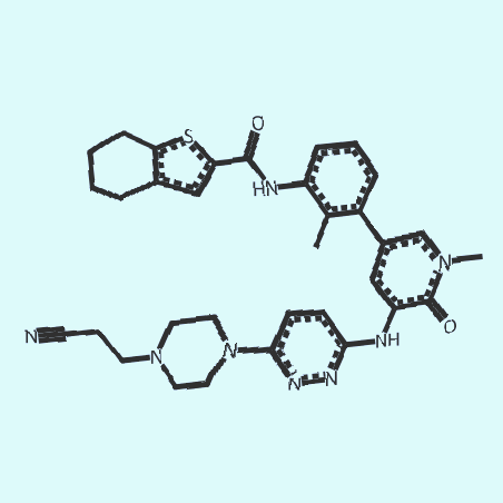 Cc1c(NC(=O)c2cc3c(s2)CCCC3)cccc1-c1cc(Nc2ccc(N3CCN(CCC#N)CC3)nn2)c(=O)n(C)c1